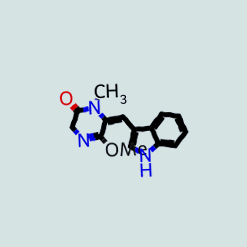 COC1=NCC(=O)N(C)C1=Cc1c[nH]c2ccccc12